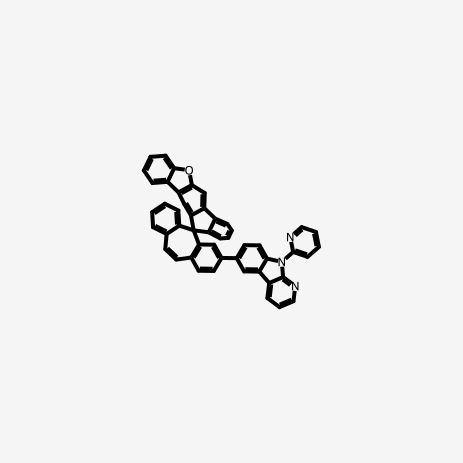 C1=Cc2ccc(-c3ccc4c(c3)c3cccnc3n4-c3ccccn3)cc2C2(c3ccccc31)c1ccccc1-c1cc3oc4ccccc4c3cc12